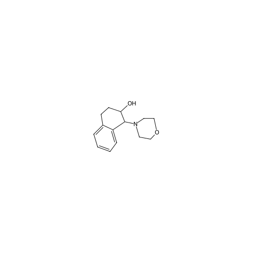 OC1CCc2ccccc2C1N1CCOCC1